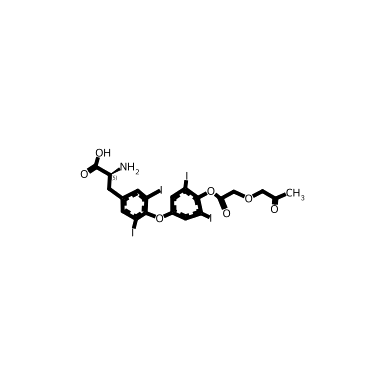 CC(=O)COCC(=O)Oc1c(I)cc(Oc2c(I)cc(C[C@H](N)C(=O)O)cc2I)cc1I